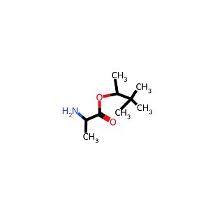 CC(N)C(=O)OC(C)C(C)(C)C